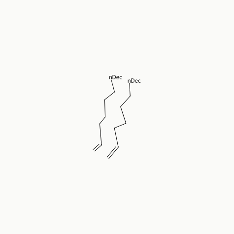 C=CCCCCCCCCCCCCCC.C=CCCCCCCCCCCCCCC